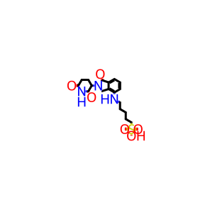 O=C1CCC(N2Cc3c(NCCCCCS(=O)(=O)O)cccc3C2=O)C(=O)N1